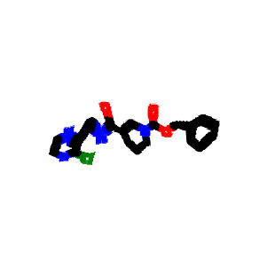 O=C(N=Cc1nccnc1Cl)[C@@H]1CCCN(C(=O)OCc2ccccc2)C1